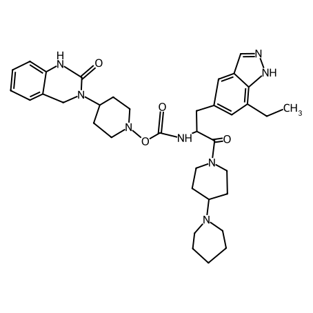 CCc1cc(CC(NC(=O)ON2CCC(N3Cc4ccccc4NC3=O)CC2)C(=O)N2CCC(N3CCCCC3)CC2)cc2cn[nH]c12